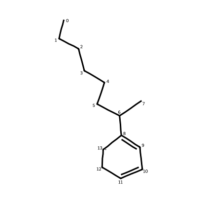 CCCCCCC(C)C1=CC=CC[CH]1